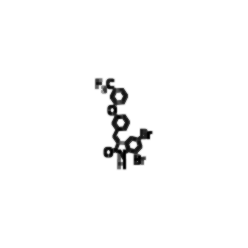 O=C1Nc2c(Br)cc(Br)cc2C1=Cc1cccc(Oc2cccc(C(F)(F)F)c2)c1